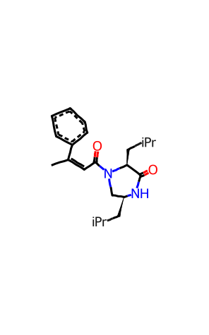 C/C(=C/C(=O)N1C[C@H](CC(C)C)NC(=O)[C@@H]1CC(C)C)c1ccccc1